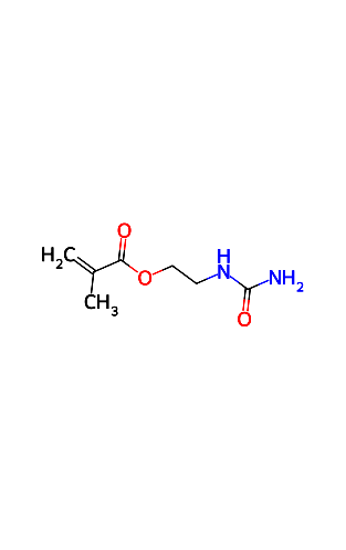 C=C(C)C(=O)OCCNC(N)=O